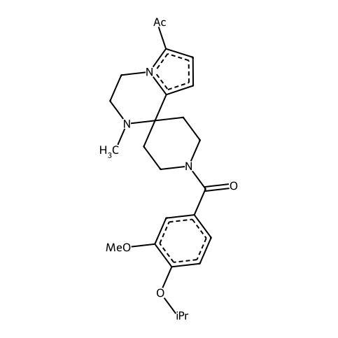 COc1cc(C(=O)N2CCC3(CC2)c2ccc(C(C)=O)n2CCN3C)ccc1OC(C)C